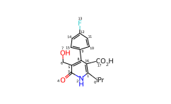 CC(C)c1[nH]c(=O)c(CO)c(-c2ccc(F)cc2)c1C(=O)O